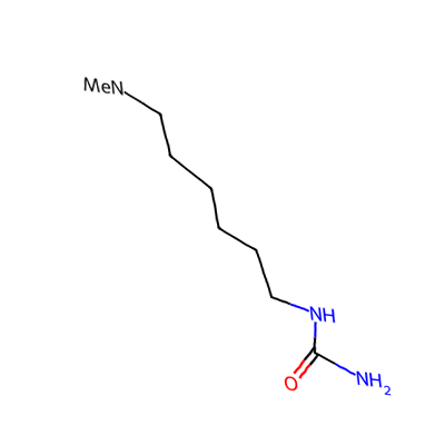 CNCCCCCCNC(N)=O